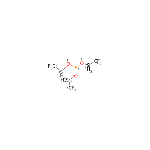 FC(F)(F)[SiH2]OP(O[SiH2]C(F)(F)F)O[SiH2]C(F)(F)F